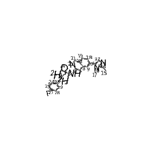 [2H]C([2H])(C(=O)Nc1cc2cc(-c3cnc(C)n3C)ccc2cn1)c1ccc(F)cc1